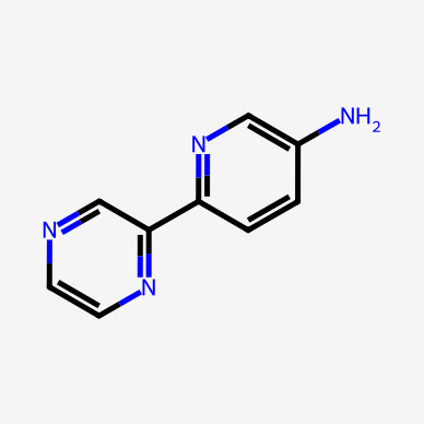 Nc1ccc(-c2cnccn2)nc1